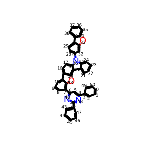 c1ccc(-c2cc(-c3cccc4c3oc3c4ccc4c3c3ccccc3n4-c3ccc4c(c3)oc3ccccc34)nc(-c3ccccc3)n2)cc1